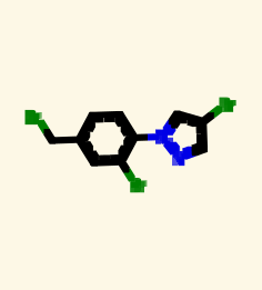 BrCc1ccc(-n2cc(Br)cn2)c(Br)c1